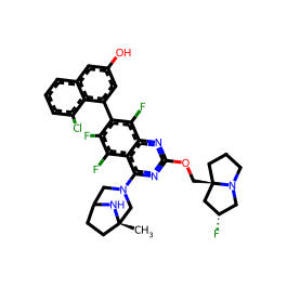 C[C@]12CCC(CN(c3nc(OC[C@@]45CCCN4C[C@H](F)C5)nc4c(F)c(-c5cc(O)cc6cccc(Cl)c56)c(F)c(F)c34)C1)N2